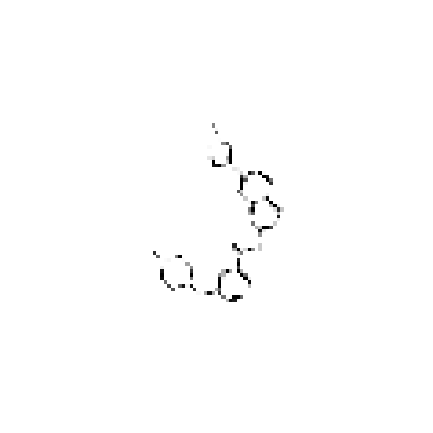 CN1CCC(Nc2cncc(C(=O)Nc3ncc4ccc(-c5cnn(C)c5)cc4n3)c2)CC1